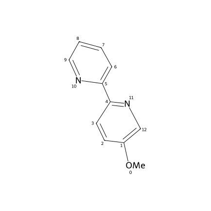 COc1ccc(-c2ccccn2)nc1